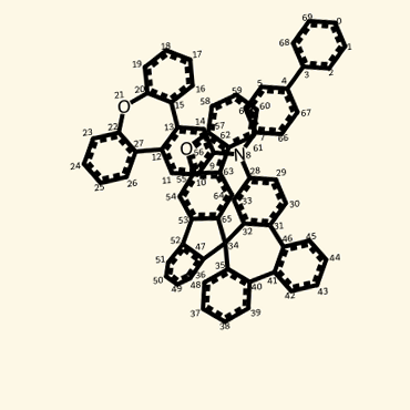 c1ccc(-c2ccc(N(c3ccc4c(c3)-c3ccccc3Oc3ccccc3-4)c3ccc4c(c3)C3(c5ccccc5-c5ccccc5-4)c4ccccc4-c4cc5oc6ccccc6c5cc43)cc2)cc1